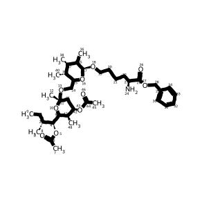 CC[C@@H](C)[C@@H](OC(C)=O)C1O[C@](C)(OCC2O[C@H](OCCCC[C@H](N)C(=O)OCc3ccccc3)C(C)[C@@H](C)[C@H]2C)C[C@@H](OC(C)=O)[C@H]1C